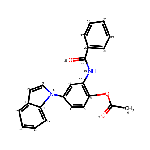 CC(=O)Oc1ccc(-n2ccc3ccccc32)cc1NC(=O)c1ccccc1